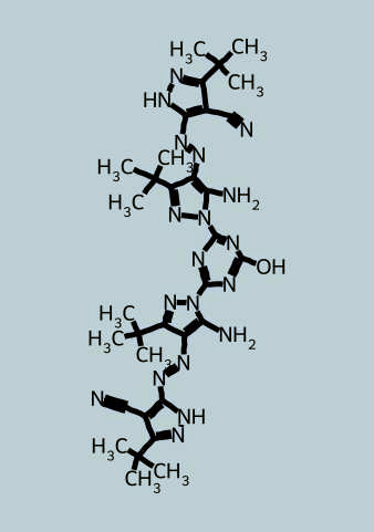 CC(C)(C)c1n[nH]c(/N=N/c2c(C(C)(C)C)nn(-c3nc(O)nc(-n4nc(C(C)(C)C)c(/N=N/c5[nH]nc(C(C)(C)C)c5C#N)c4N)n3)c2N)c1C#N